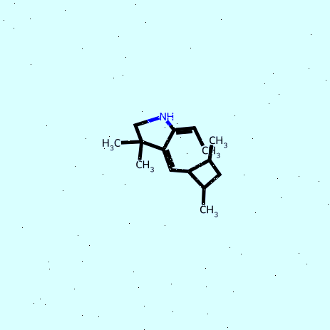 C/C=C1/NCC(C)(C)/C1=C/C1C(C)CC1C